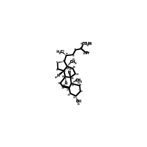 CCOC(=O)C(CC[C@@H](C)[C@H]1CC[C@H]2[C@@H]3CC=C4C[C@@H](O)CC[C@]4(C)[C@H]3CC[C@]12C)C(C)C